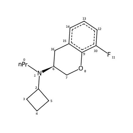 CCCN(C1CCC1)[C@@H]1COc2c(F)cccc2C1